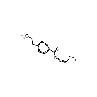 CC=C=NC(=O)c1ccc(CCC)cc1